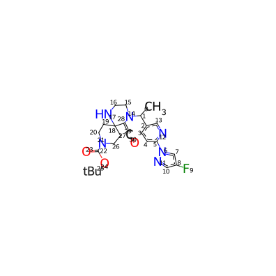 CC(c1ccc(-n2cc(F)cn2)nc1)N1CCNC2(CCN(C(=O)OC(C)(C)C)CC2)C1=C=O